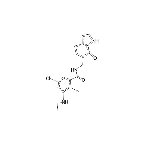 CCNc1cc(Cl)cc(C(=O)NCc2ccc3cc[nH]n3c2=O)c1C